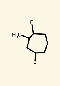 CC1CC(F)CCCC1F